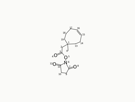 CC1(CC(=O)ON2C(=O)CCC2=O)CCC=CCCC1